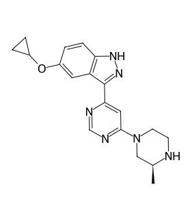 C[C@H]1CN(c2cc(-c3n[nH]c4ccc(OC5CC5)cc34)ncn2)CCN1